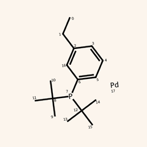 CCc1cccc(P(C(C)(C)C)C(C)(C)C)c1.[Pd]